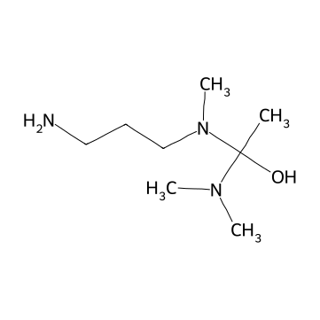 CN(C)C(C)(O)N(C)CCCN